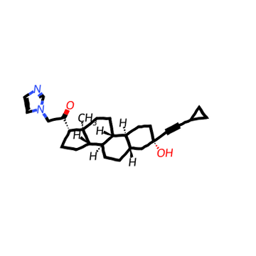 C[C@]12CC[C@H]3[C@@H](CC[C@H]4C[C@](O)(C#CC5CC5)CC[C@@H]43)[C@@H]1CC[C@@H]2C(=O)Cn1ccnc1